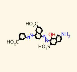 Nc1ccc2cc(S(=O)(=O)O)c(N=Nc3ccc(N=Nc4cccc(C(=O)O)c4)c4cc(C(=O)O)ccc34)c(O)c2c1